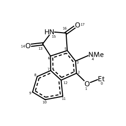 CCOc1c(NC)c2c(c3ccccc13)C(=O)NC2=O